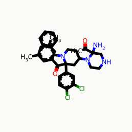 CC(=O)C1(N)CNCCN1C1CCN(Cc2ccccc2)C(C(=O)c2cc(C)cc(C)c2)(c2ccc(Cl)c(Cl)c2)C1